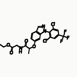 CCOC(=O)CNC(=O)C(C)Oc1ccc2cnn(-c3c(Cl)cc(C(F)(F)F)cc3Cl)c2c1